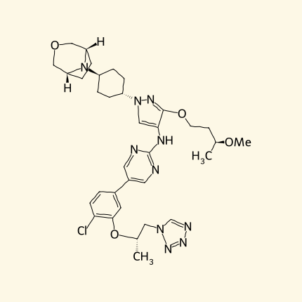 CO[C@@H](C)CCOc1nn([C@H]2CC[C@H](N3[C@@H]4CC[C@H]3COC4)CC2)cc1Nc1ncc(-c2ccc(Cl)c(O[C@@H](C)Cn3cnnn3)c2)cn1